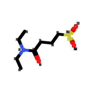 CCN(CC)C(=O)CCC[SH](=O)=O